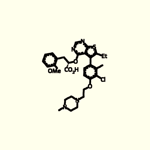 CCc1sc2ncnc(O[C@@H](Cc3ccccc3OC)C(=O)O)c2c1-c1ccc(OCCN2CCN(C)CC2)c(Cl)c1C